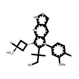 COc1cc(-n2c(C(C)(C)CC#N)c([C@H]3C[C@](F)(C(=O)O)C3)c3nc4[nH]ncc4cc32)ccc1F